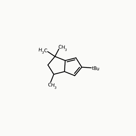 CC1CC(C)(C)C2=CC(C(C)(C)C)=CC21